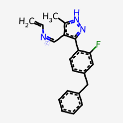 C=C/N=C\c1c(-c2ccc(Cc3ccccc3)cc2F)n[nH]c1C